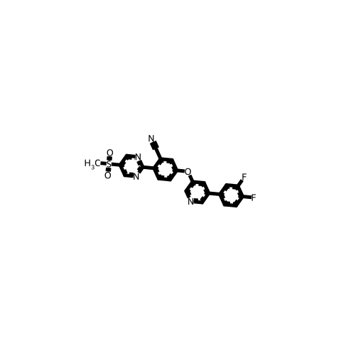 CS(=O)(=O)c1cnc(-c2ccc(Oc3cncc(-c4ccc(F)c(F)c4)c3)cc2C#N)nc1